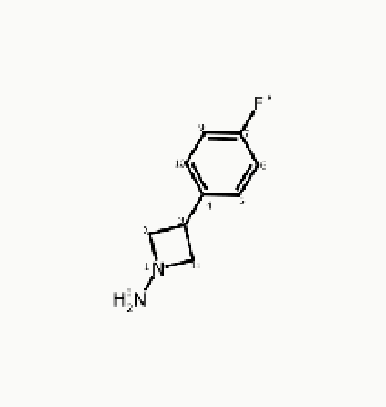 NN1CC(c2ccc(F)cc2)C1